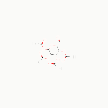 CC(=O)OC1O[C@H](C=O)[C@@H](OC(C)=O)[C@H](OC(C)=O)[C@@H]1OC(C)=O